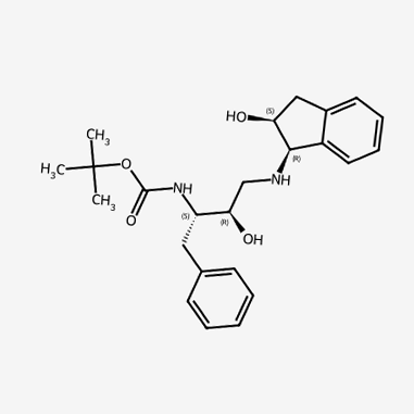 CC(C)(C)OC(=O)N[C@@H](Cc1ccccc1)[C@H](O)CN[C@@H]1c2ccccc2C[C@@H]1O